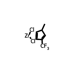 C[C]1C=CC(C(F)(F)F)=C1.[Cl][Zr][Cl]